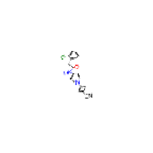 N#CC12CC(N3C=CC(NC(=O)Cc4ccccc4Cl)=CC3)(C1)C2